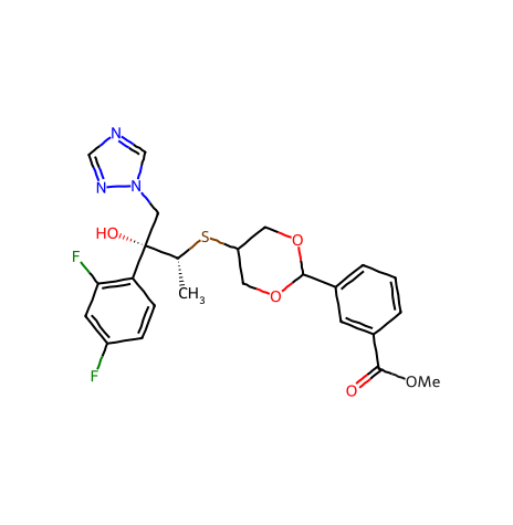 COC(=O)c1cccc(C2OCC(S[C@H](C)[C@](O)(Cn3cncn3)c3ccc(F)cc3F)CO2)c1